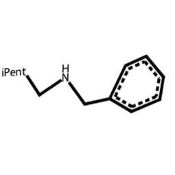 CCCC(C)CNCc1ccccc1